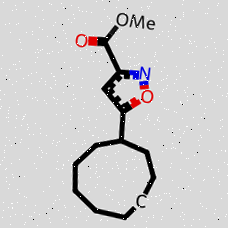 COC(=O)c1cc(C2CCCCCCCC2)on1